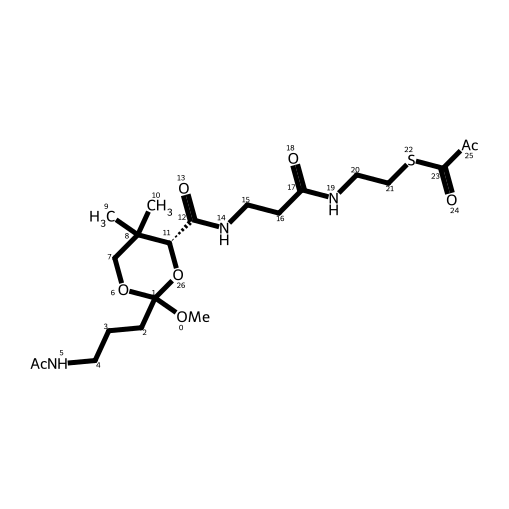 COC1(CCCNC(C)=O)OCC(C)(C)[C@H](C(=O)NCCC(=O)NCCSC(=O)C(C)=O)O1